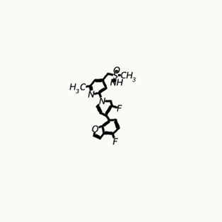 Cc1cc(CS(C)(=N)=O)cc(N2C=CC(c3ccc(F)c4ccoc34)=C(F)C2)n1